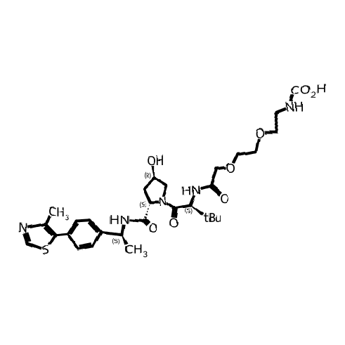 Cc1ncsc1-c1ccc([C@H](C)NC(=O)[C@@H]2C[C@@H](O)CN2C(=O)[C@@H](NC(=O)COCCOCCNC(=O)O)C(C)(C)C)cc1